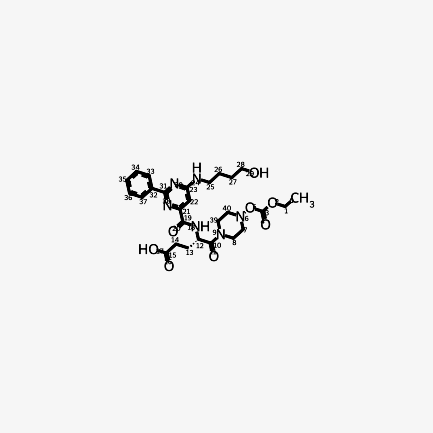 CCOC(=O)ON1CCN(C(=O)[C@H](CCC(=O)O)NC(=O)c2cc(NCCCCO)nc(-c3ccccc3)n2)CC1